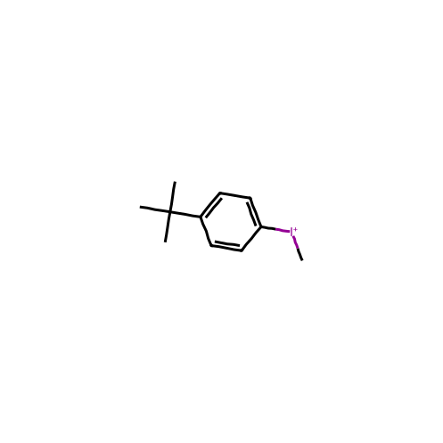 C[I+]c1ccc(C(C)(C)C)cc1